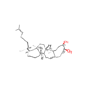 CC(C)=CCC[C@@H](C)[C@H]1CC[C@H]2[C@@H]3CC=C4C[C@H](O)[C@H](O)C[C@]4(C)[C@H]3CC[C@]12C